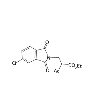 CCOC(=O)C(CN1C(=O)c2ccc(Cl)cc2C1=O)C(C)=O